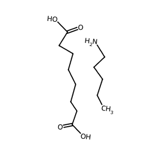 CCCCCN.O=C(O)CCCCCCC(=O)O